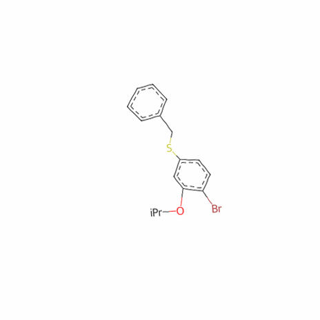 CC(C)Oc1cc(SCc2ccccc2)ccc1Br